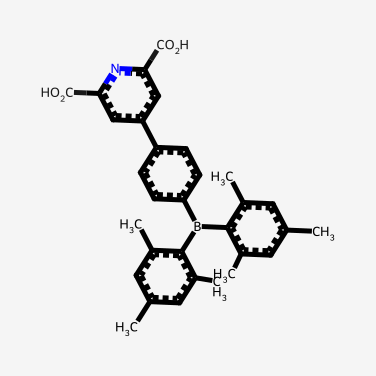 Cc1cc(C)c(B(c2ccc(-c3cc(C(=O)O)nc(C(=O)O)c3)cc2)c2c(C)cc(C)cc2C)c(C)c1